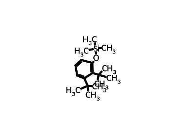 CC(C)(C)c1cccc(O[Si](C)(C)C)c1C(C)(C)C